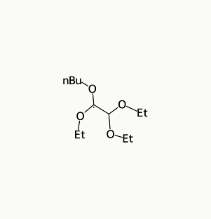 CCCCO[C](OCC)C(OCC)OCC